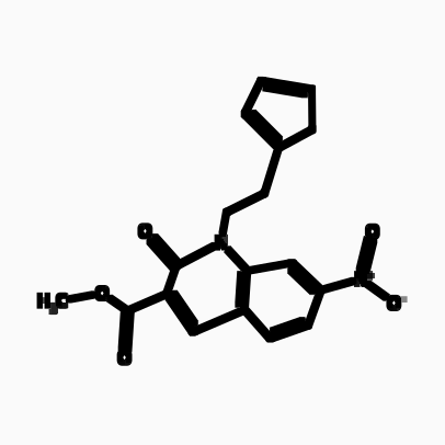 COC(=O)c1cc2ccc([N+](=O)[O-])cc2n(CCC2=CC=CC2)c1=O